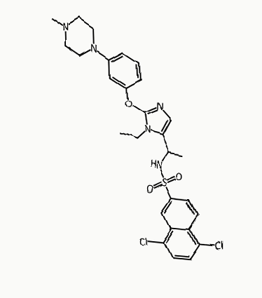 CCn1c(C(C)NS(=O)(=O)c2ccc3c(Cl)ccc(Cl)c3c2)cnc1Oc1cccc(N2CCN(C)CC2)c1